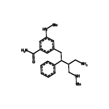 CC(C)(C)NCC(CN)C(Cc1cc(NC(C)(C)C)cc(C(N)=O)c1)c1ccccc1